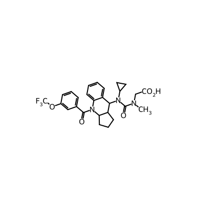 CN(CC(=O)O)C(=O)N(C1CC1)C1c2ccccc2N(C(=O)c2cccc(OC(F)(F)F)c2)C2CCCC21